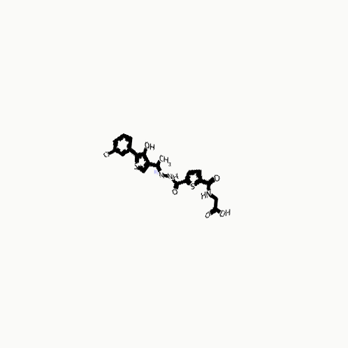 C/C(=N\NC(=O)c1ccc(C(=O)NCC(=O)O)s1)c1csc(-c2cccc(Cl)c2)c1O